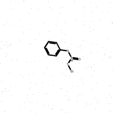 CCS[PH](=O)Oc1ccccc1